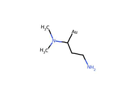 CN(C)[CH]([Au])CCN